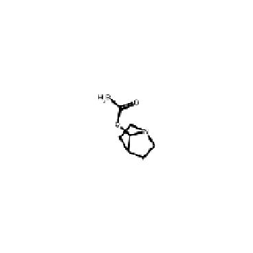 BC(=O)OC1C2CCN1CC2